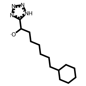 [O]C(CCCCCCC1CCCCC1)c1nnn[nH]1